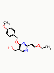 CCOC=Cc1ncc(CO)c(OCc2ccc(OC)cc2)n1